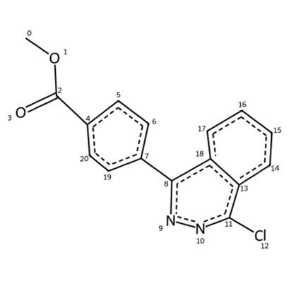 COC(=O)c1ccc(-c2nnc(Cl)c3ccccc23)cc1